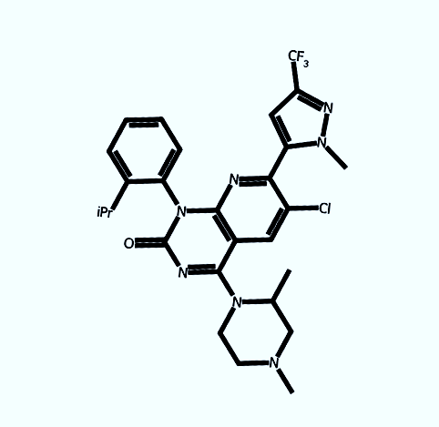 CC(C)c1ccccc1-n1c(=O)nc(N2CCN(C)CC2C)c2cc(Cl)c(-c3cc(C(F)(F)F)nn3C)nc21